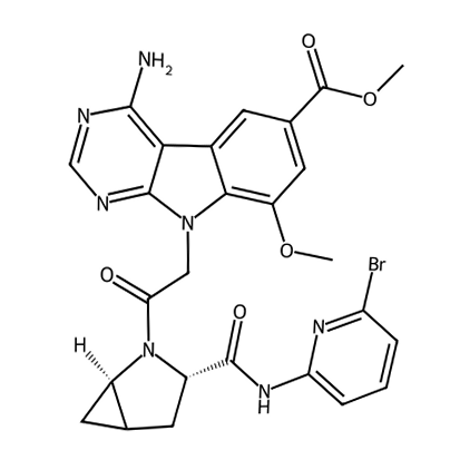 COC(=O)c1cc(OC)c2c(c1)c1c(N)ncnc1n2CC(=O)N1[C@@H]2CC2C[C@H]1C(=O)Nc1cccc(Br)n1